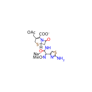 CO/N=C(\C(=O)N[C@H]1C(=O)N2C(C(=O)[O-])=C(COC(C)=O)CS[C@@H]12)c1csc(N)n1.[Na+]